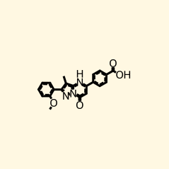 COc1ccccc1-c1nn2c(=O)cc(-c3ccc(C(=O)O)cc3)[nH]c2c1C